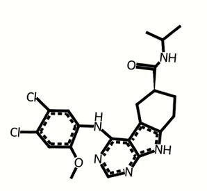 COc1cc(Cl)c(Cl)cc1Nc1ncnc2[nH]c3c(c12)C[C@@H](C(=O)NC(C)C)CC3